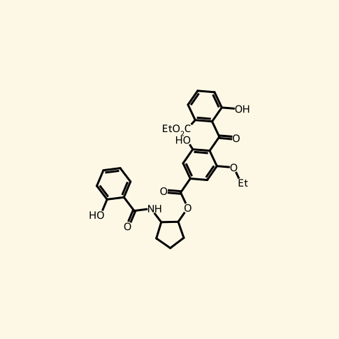 CCOC(=O)c1cccc(O)c1C(=O)c1c(O)cc(C(=O)OC2CCCC2NC(=O)c2ccccc2O)cc1OCC